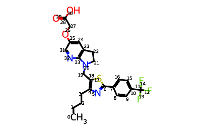 CCCCc1nc(-c2ccc(C(F)(F)F)cc2)sc1CN1CCc2cc(OCC(=O)O)cnc21